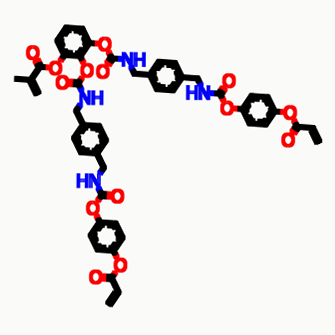 C=CC(=O)Oc1ccc(OC(=O)NCc2ccc(CNC(=O)Oc3cccc(OC(=O)C(=C)C)c3OC(=O)NCc3ccc(CNC(=O)Oc4ccc(OC(=O)C=C)cc4)cc3)cc2)cc1